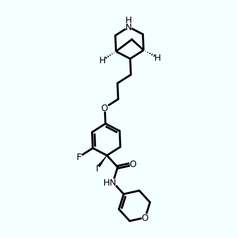 O=C(NC1=CCOCC1)[C@@]1(I)CC=C(OCCCC2[C@@H]3CNC[C@H]2C3)C=C1F